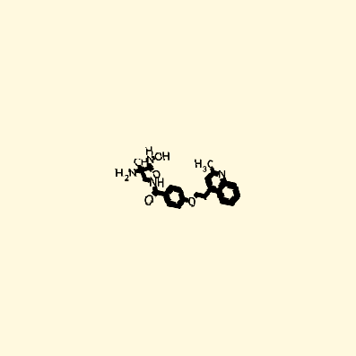 Cc1cc(CCOc2ccc(C(=O)NCC(C)(N)C(=O)NO)cc2)c2ccccc2n1